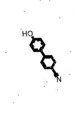 N#CC1C=CC(c2ccc(O)cc2)=CC1